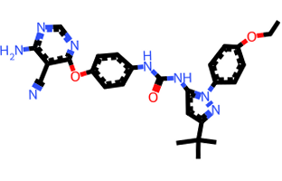 CCOc1ccc(-n2nc(C(C)(C)C)cc2NC(=O)Nc2ccc(Oc3ncnc(N)c3C#N)cc2)cc1